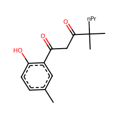 CCCC(C)(C)C(=O)CC(=O)c1cc(C)ccc1O